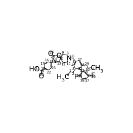 CCCc1cc(CN2CCC3(CC2)CN(c2ccc(C(=O)O)cc2)C(=O)O3)cc(CCC)c1-c1cc(F)ccc1F